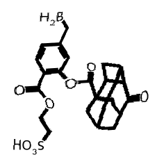 BCc1ccc(C(=O)OCCS(=O)(=O)O)c(OC(=O)C23CC4CC(C2)C2CC3C2C4=O)c1